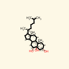 CC(C)CCC[C@H](C)C1CCC2C3C[C@@H](O)[C@@]4(O)C[C@@H](O)CC[C@]4(C)C3CC[C@@]21C